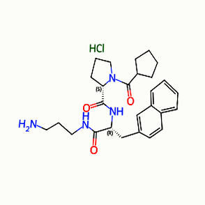 Cl.NCCCNC(=O)[C@@H](Cc1ccc2ccccc2c1)NC(=O)[C@@H]1CCCN1C(=O)C1CCCC1